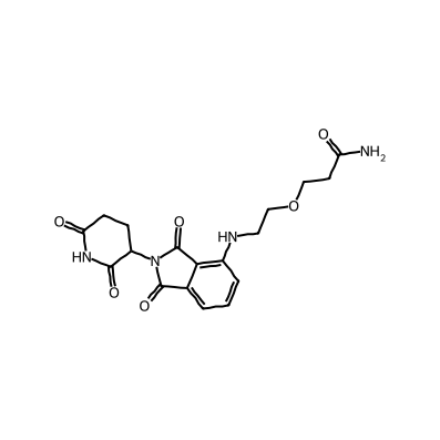 NC(=O)CCOCCNc1cccc2c1C(=O)N(C1CCC(=O)NC1=O)C2=O